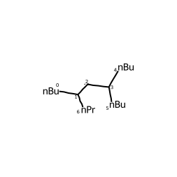 CCCCC([CH]C(CCCC)CCCC)CCC